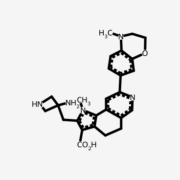 CN1CCOc2cc(-c3cc4c(cn3)CCc3c(C(=O)O)c(CC5(N)CNC5)n(C)c3-4)ccc21